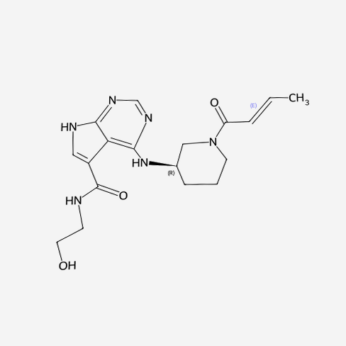 C/C=C/C(=O)N1CCC[C@@H](Nc2ncnc3[nH]cc(C(=O)NCCO)c23)C1